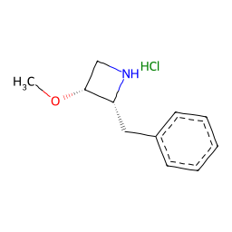 CO[C@@H]1CN[C@@H]1Cc1ccccc1.Cl